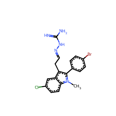 Cn1c(-c2ccc(Br)cc2)c(CC=NNC(=N)N)c2cc(Cl)ccc21